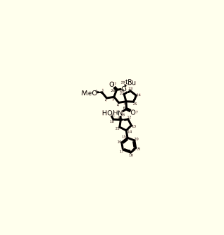 COCCC(CC1(C(=O)NC2(CO)CCC(c3ccccc3)C2)CCCC1)C(=O)OC(C)(C)C